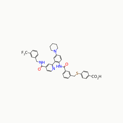 O=C(O)c1ccc(SCc2cccc(C(=O)Nc3ccc(N4CCCCC4)cc3-c3cc(C(=O)NCc4cccc(C(F)(F)F)c4)ccn3)c2)cc1